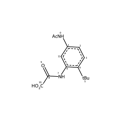 CC(=O)Nc1ccc(C(C)(C)C)c(NC(=O)C(=O)O)c1